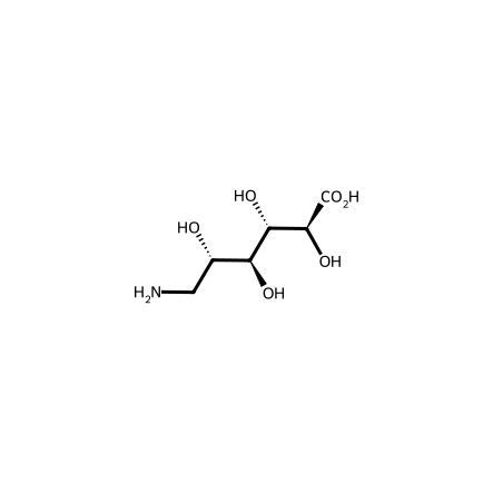 NC[C@H](O)[C@H](O)[C@H](O)[C@H](O)C(=O)O